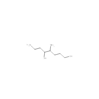 NCCC(O)C(N)CCCO